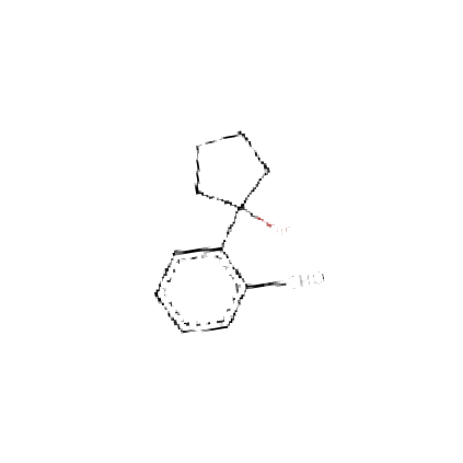 O=Cc1ccccc1C1(Br)CCCC1